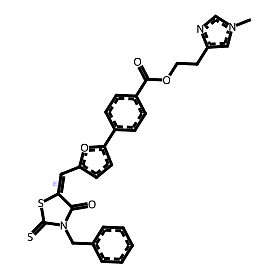 Cn1cnc(CCOC(=O)c2ccc(-c3ccc(/C=C4/SC(=S)N(Cc5ccccc5)C4=O)o3)cc2)c1